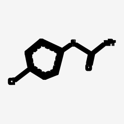 CCCC(=O)Sc1ccc(Cl)cc1